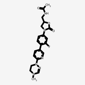 CC(=O)NCC1CN(c2ccc(-c3ccc(N4CCN(C)C=N4)nc3)c(F)c2)C(=O)O1